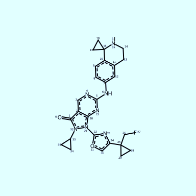 O=c1c2cnc(Nc3ccc4c(c3)CCNC43CC3)nc2n(-c2nc(C3(CF)CC3)co2)n1C1CC1